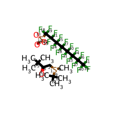 C[S+](CC(=O)C(C)(C)C)C(C)(C)C.O=S(=O)([O-])C(F)(F)C(F)(F)C(F)(F)C(F)(F)C(F)(F)C(F)(F)C(F)(F)C(F)(F)F